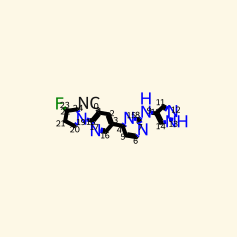 N#Cc1cc(-c2ccnc(Nc3cn[nH]c3)n2)cnc1N1CCC(F)C1